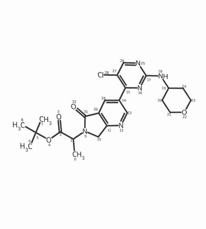 CC(C(=O)OC(C)(C)C)N1Cc2ncc(-c3nc(NC4CCOCC4)ncc3Cl)cc2C1=O